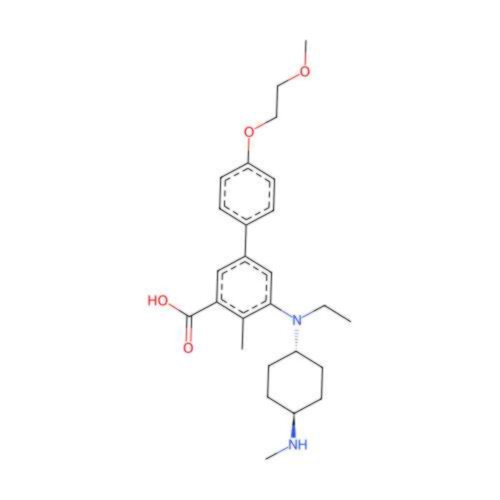 CCN(c1cc(-c2ccc(OCCOC)cc2)cc(C(=O)O)c1C)[C@H]1CC[C@H](NC)CC1